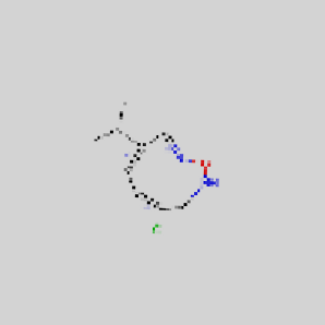 CC(C)C1=C/C=C(/Cl)CNO\N=C\1